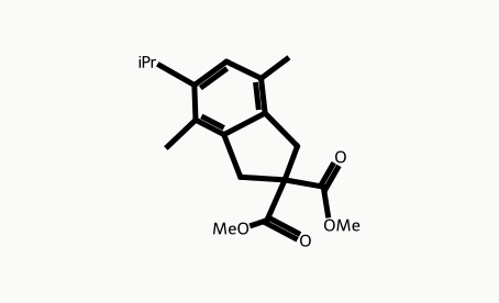 COC(=O)C1(C(=O)OC)Cc2c(C)cc(C(C)C)c(C)c2C1